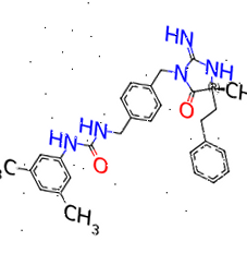 Cc1cc(C)cc(NC(=O)NCc2ccc(CN3C(=N)N[C@](C)(CCc4ccccc4)C3=O)cc2)c1